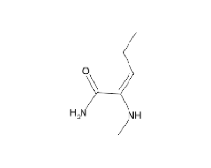 CC/C=C(/NC)C(N)=O